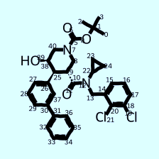 CC(C)(C)OC(=O)N1C[C@H](C(=O)N(Cc2cccc(Cl)c2Cl)C2CC2)[C@@H](c2cccc(-c3ccccc3)c2)[C@@H](O)C1